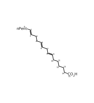 CCCCCC=CCCC=CCC=CCCCCCC(=O)O